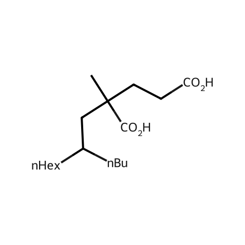 CCCCCCC(CCCC)CC(C)(CCC(=O)O)C(=O)O